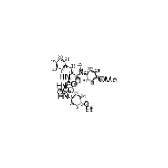 CCOc1ccc(NS(=O)(=O)NC(=O)NC(Cc2ccccc2)C(=O)N(C)c2ccc(OC)cc2)cc1